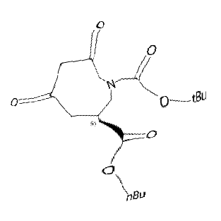 CCCCOC(=O)[C@H]1CC(=O)CC(=O)N1C(=O)OC(C)(C)C